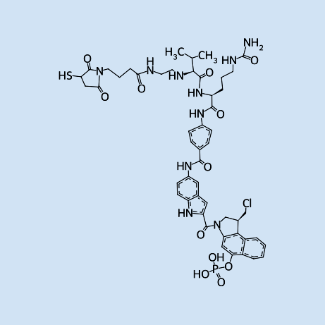 CC(C)[C@H](NCCNC(=O)CCCN1C(=O)CC(S)C1=O)C(=O)N[C@@H](CCCNC(N)=O)C(=O)Nc1ccc(C(=O)Nc2ccc3[nH]c(C(=O)N4C[C@@H](CCl)c5c4cc(OP(=O)(O)O)c4ccccc54)cc3c2)cc1